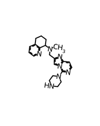 CN(Cc1cn2c(N3CCNCC3)nccc2n1)C1CCCc2cccnc21